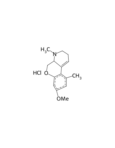 COc1cc(C)c2c(c1)OCC1C2=CCCN1C.Cl